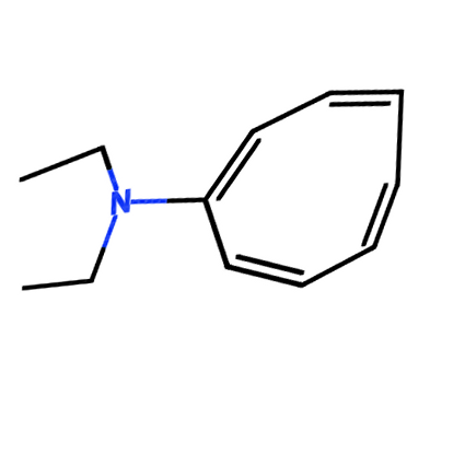 CCN(CC)C1=C/C=C\C=C/C=C\1